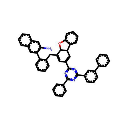 Nc1cc2ccccc2cc1-c1ccccc1CC1=CC(c2nc(-c3ccccc3)nc(-c3cccc(-c4ccccc4)c3)n2)=CC2c3ccccc3OC12